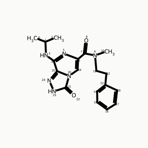 CC(C)Nc1nc(C(=O)N(C)CCc2ccccc2)cn2c(=O)[nH]nc12